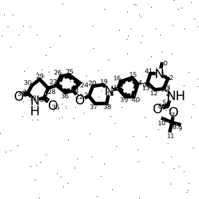 CN1C[C@H](NC(=O)OC(C)(C)C)C[C@H](c2ccc(N3CCC(Oc4cccc(C5CCC(=O)NC5=O)c4)CC3)cc2)C1